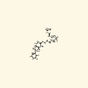 CC1(C)OC(CCCO)C(CCCCc2ccc3cc(-c4ccccc4)oc3c2)O1